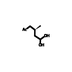 CC(=O)C[C@H](C)CC(O)O